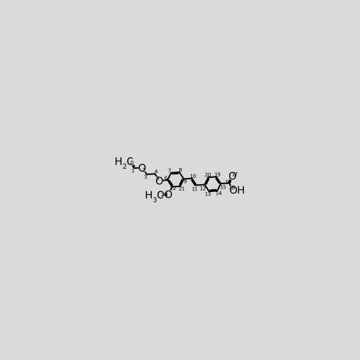 C=COCCOc1ccc(C=Cc2ccc(C(=O)O)cc2)cc1OC